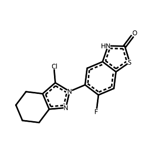 O=c1[nH]c2cc(-n3nc4c(c3Cl)CCCC4)c(F)cc2s1